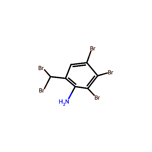 Nc1c(C(Br)Br)cc(Br)c(Br)c1Br